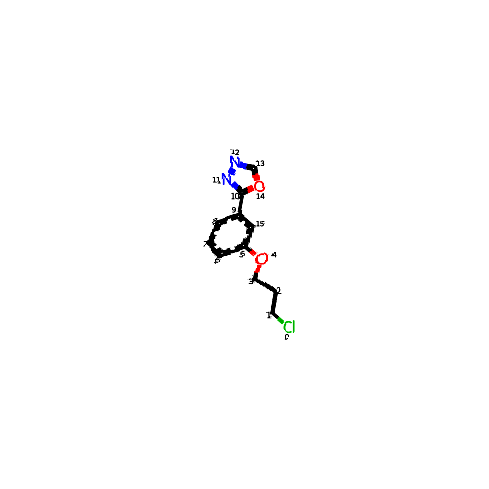 ClCCCOc1cccc(-c2nnco2)c1